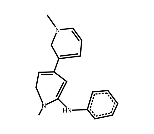 CN1C=CC=C(C2=CCN(C)C(Nc3ccccc3)=C2)C1